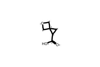 O=C(O)C1CC12COC2